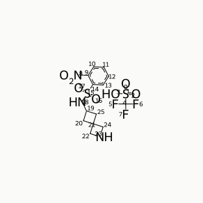 O=S(=O)(O)C(F)(F)F.O=[N+]([O-])c1ccccc1S(=O)(=O)NC1CC2(CNC2)C1